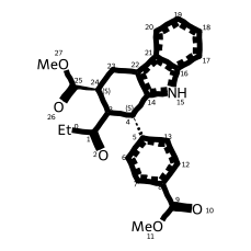 CCC(=O)C1[C@@H](c2ccc(C(=O)OC)cc2)c2[nH]c3ccccc3c2C[C@@H]1C(=O)OC